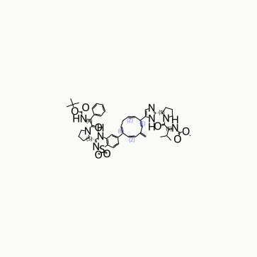 C=C1/C=C\C(c2ccc3c(c2)NC([C@@H]2CCCN2C(=O)[C@H](NC(=O)OC(C)(C)C)c2ccccc2)=NS3(=O)=O)=C/C/C=C\C(c2cnc([C@@H]3CCCN3C(=O)[C@@H](NC(=O)OC)C(C)C)[nH]2)=C/1